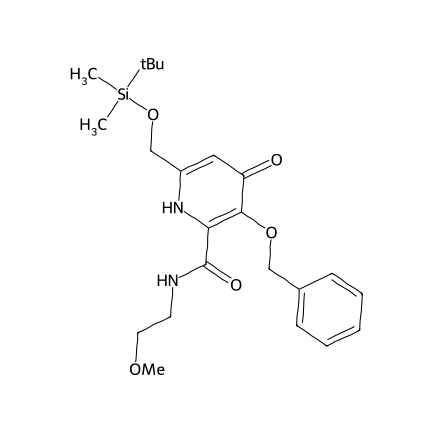 COCCNC(=O)c1[nH]c(CO[Si](C)(C)C(C)(C)C)cc(=O)c1OCc1ccccc1